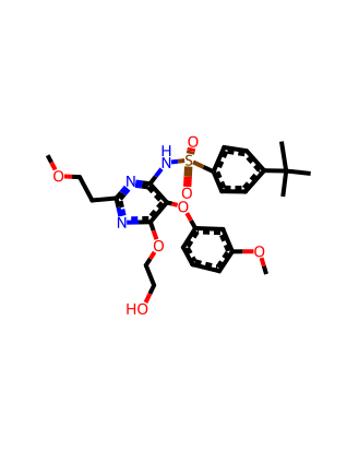 COCCc1nc(NS(=O)(=O)c2ccc(C(C)(C)C)cc2)c(Oc2cccc(OC)c2)c(OCCO)n1